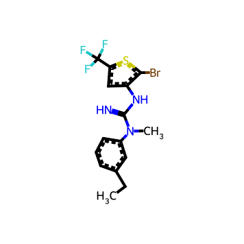 CCc1cccc(N(C)C(=N)Nc2cc(C(F)(F)F)sc2Br)c1